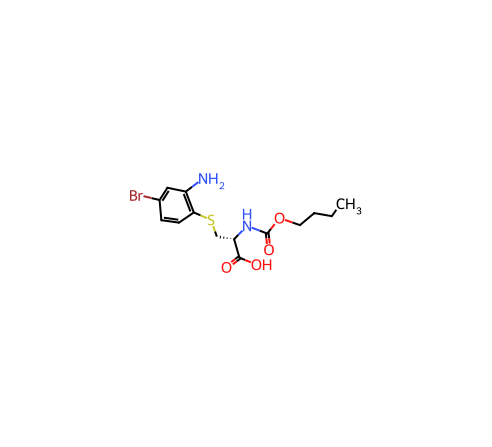 CCCCOC(=O)N[C@@H](CSc1ccc(Br)cc1N)C(=O)O